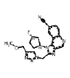 COCc1cn(Cc2nc3cnc4ccc(C#N)cc4c3n2[C@H]2CC[C@@H](F)C2)nn1